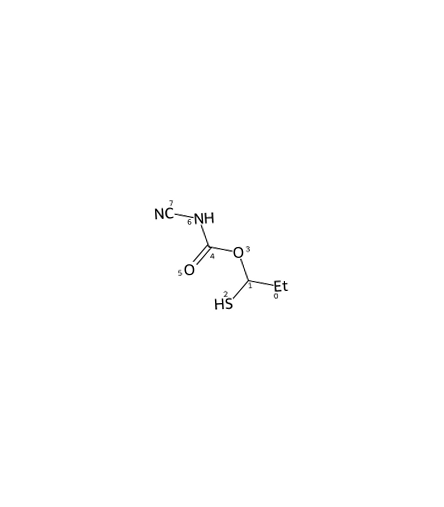 CCC(S)OC(=O)NC#N